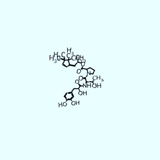 CC(CC1CCC(C)(C)C1(C)C)OC(=O)C1CCCN1C(=O)C(NC(=O)C(O)Cc1ccc(O)c(O)c1)C(C)O